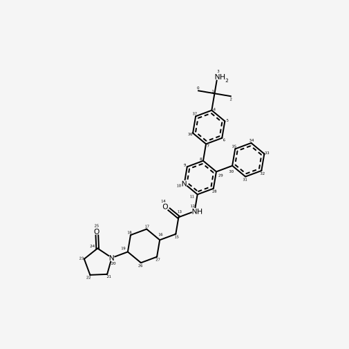 CC(C)(N)c1ccc(-c2cnc(NC(=O)CC3CCC(N4CCCC4=O)CC3)cc2-c2ccccc2)cc1